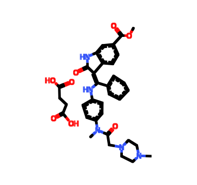 COC(=O)c1ccc2c(c1)NC(=O)/C2=C(\Nc1ccc(N(C)C(=O)CN2CCN(C)CC2)cc1)c1ccccc1.O=C(O)CCC(=O)O